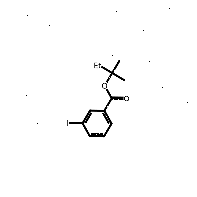 CCC(C)(C)OC(=O)c1cccc(I)c1